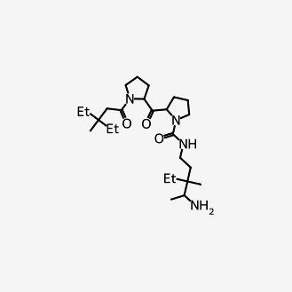 CCC(C)(CC)CC(=O)N1CCCC1C(=O)C1CCCN1C(=O)NCCC(C)(CC)C(C)N